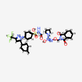 Cc1ccc(-c2cc(C(F)(F)F)nn2-c2ccc(S(=O)(=O)NC(=O)[C@@H]3CCCN3/[N+]([O-])=N\OCN3C(=O)c4ccccc4C3=O)cc2)cc1